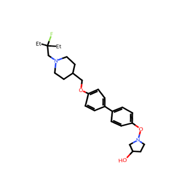 CCC(F)(CC)CN1CCC(COc2ccc(-c3ccc(ON4CCC(O)C4)cc3)cc2)CC1